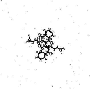 CN(C)CCNC1=C(C2=C(NCCN(C)C)C(=O)c3ccccc3C2=O)C(=O)c2ccccc2C1=O